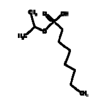 CCCCCCCP(=O)(O)OC(C)C